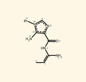 C/C=C(/N)NC(=O)c1ncn(C(C)C)c1N